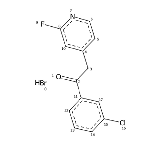 Br.O=C(Cc1ccnc(F)c1)c1cccc(Cl)c1